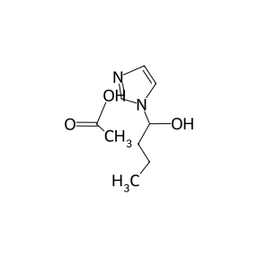 CC(=O)O.CCCC(O)n1ccnc1